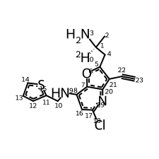 [2H][C@@](C)(N)Cc1oc2c(NCc3cccs3)cc(Cl)nc2c1C#C